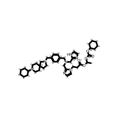 CC(OC(=O)CCn1ccnc1CN(Cc1ccc(CN2CCC3(CCN(C4CCCCC4)CC3)C2)cc1)Cc1ncc[nH]1)OC(=O)OC1CCCCC1